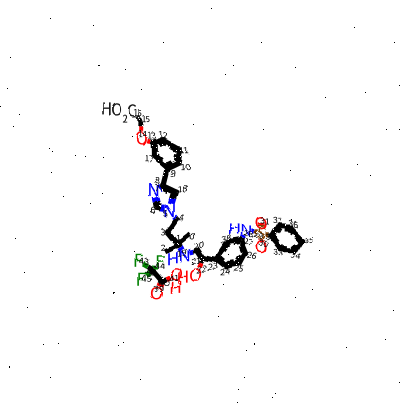 CC(C)(CCn1cnc(-c2cccc(OCC(=O)O)c2)c1)NCC(O)c1cccc(NS(=O)(=O)c2ccccc2)c1.O=C(O)C(F)(F)F